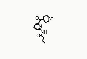 CCCC(=O)Nc1cccc(C(=O)C2CCN(C)CC2)n1